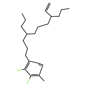 C=CC(CCC)CCCC(CCC)CCCc1ccc(C)c(F)c1F